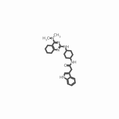 CN(C)c1nc(NC2CCC(NC(=O)Cc3c[nH]c4ccccc34)CC2)nc2c1CCCC2